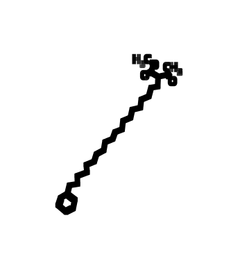 COC(=O)C(CCCCCCCCCCCCCCCCCCCCc1ccccc1)C(C)=O